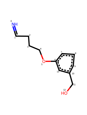 N=CCCCOc1cccc(CO)c1